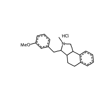 COc1cccc(CC2C3CCc4ccccc4C3CN2C)c1.Cl